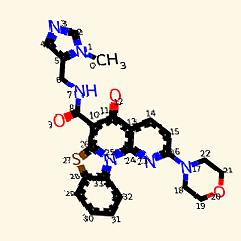 Cn1cncc1CNC(=O)c1c(=O)c2ccc(N3CCOCC3)nc2n2c1sc1ccccc12